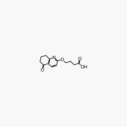 O=C(O)CCCOc1ccc2c(n1)CCCC2=O